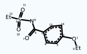 CCOc1ccc(C(=O)[N]S(=O)(=O)CC)cc1